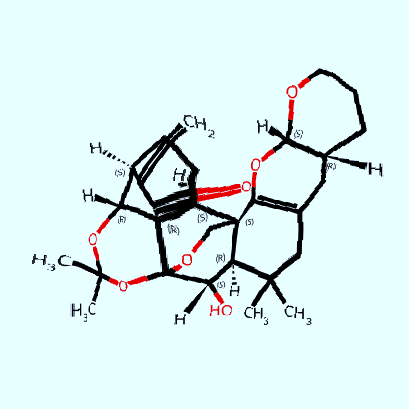 C=C1C(=O)[C@@]23[C@@H]4OC(C)(C)OC25OC[C@]2(C6=C(C[C@H]7CCCO[C@H]7O6)CC(C)(C)[C@H]2[C@@H]5O)[C@@H]3CC[C@@H]14